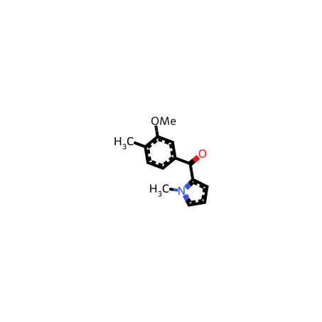 COc1cc(C(=O)c2cccn2C)ccc1C